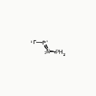 FP=NP